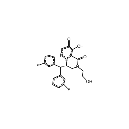 O=C1c2c(O)c(=O)cnn2[C@@H](C(c2cccc(F)c2)c2cccc(F)c2)CN1CCO